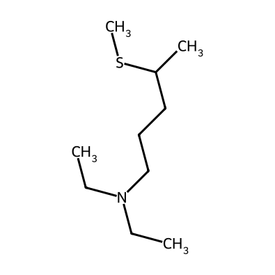 CCN(CC)CCCC(C)SC